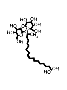 CC(CCCCCC/C=C\CCCCCCCC(O)O)OC1OC(CO)C(O)C(O)C1OC1OC(CO)C(O)C(O)C1O